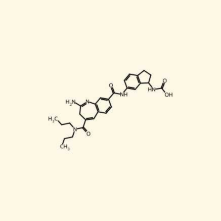 CCCN(CCC)C(=O)C1=Cc2ccc(C(=O)Nc3ccc4c(c3)C(NC(=O)O)CC4)cc2N=C(N)C1